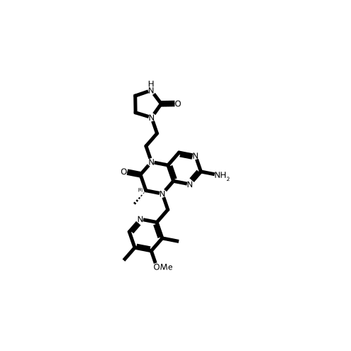 COc1c(C)cnc(CN2c3nc(N)ncc3N(CCN3CCNC3=O)C(=O)[C@H]2C)c1C